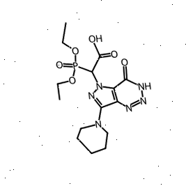 CCOP(=O)(OCC)C(C(=O)O)n1nc(N2CCCCC2)c2nn[nH]c(=O)c21